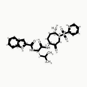 CC(C)C[C@H](NC(=O)c1cc2ccccc2o1)C(=O)N[C@@H]1CC[C@H](C)N(S(=O)(=O)c2ccccn2)CC1=O